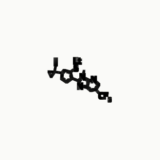 C#CC1(c2ccc(-c3nc4cc(C(F)(F)F)cnc4n3C)c(SCC)c2)CC1